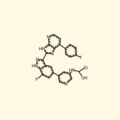 CCC(O)Nc1cncc(-c2cc(F)c3[nH]nc(-c4nc5c(-c6ccc(F)cc6)ccnc5[nH]4)c3c2)c1